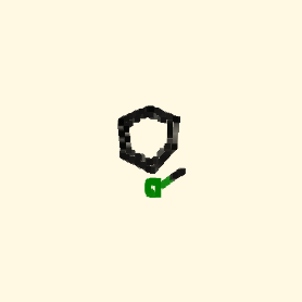 CCl.c1ccccc1